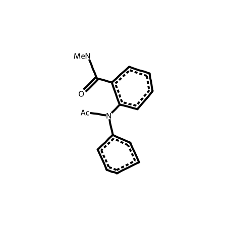 CNC(=O)c1ccccc1N(C(C)=O)c1ccccc1